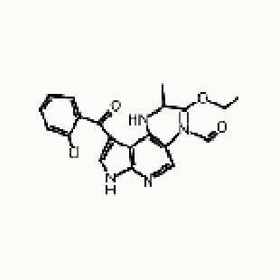 CCOCC(C)Nc1c(NC=O)cnc2[nH]cc(C(=O)c3ccccc3Cl)c12